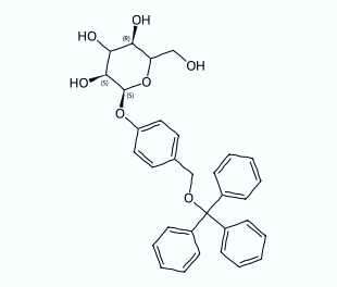 OCC1O[C@@H](Oc2ccc(COC(c3ccccc3)(c3ccccc3)c3ccccc3)cc2)[C@@H](O)C(O)[C@H]1O